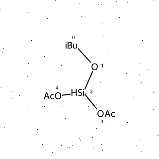 CCC(C)O[SiH](OC(C)=O)OC(C)=O